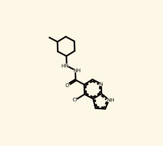 CC1CCCC(NNC(=O)c2cnc3[nH]ccc3c2Cl)C1